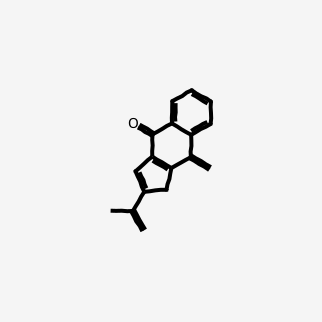 C=C(C)C1=CC2=C(C1)C(=C)c1ccccc1C2=O